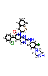 O=c1c(-c2ccccc2Cl)cc2cnc(Nc3ccc(N4CCNCC4)c(F)c3)nc2n1C1CSc2ccccc2C1